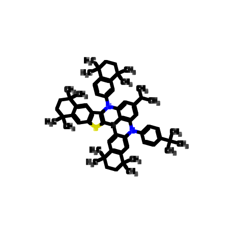 CC(C)c1cc2c3c(c1)N(c1ccc4c(c1)C(C)(C)CCC4(C)C)c1c(sc4cc5c(cc14)C(C)(C)CCC5(C)C)B3c1cc3c(cc1N2c1ccc(C(C)(C)C)cc1)C(C)(C)CCC3(C)C